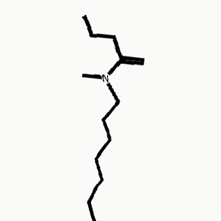 C=C(CCC)N(C)CCCCCCC